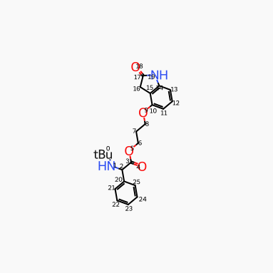 CC(C)(C)NC(C(=O)OCCCOc1cccc2c1CC(=O)N2)c1ccccc1